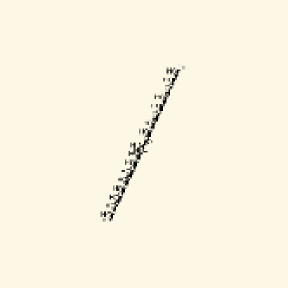 NC(CCC(=O)NCC(O)COCC(O)COCC(O)COCC(O)COCC(O)COCC(O)COCC(O)COCC(O)CO)C(=O)NCC(O)COCC(O)COCC(O)COCC(O)COCC(O)COCC(O)COCC(O)COCC(O)CO